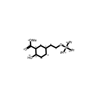 COC(=O)C1CC(CCO[Si](C(C)C)(C(C)C)C(C)C)CCC1O